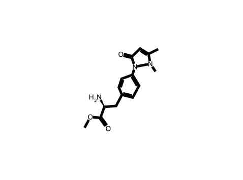 COC(=O)[C@@H](N)Cc1ccc(-n2c(=O)cc(C)n2C)cc1